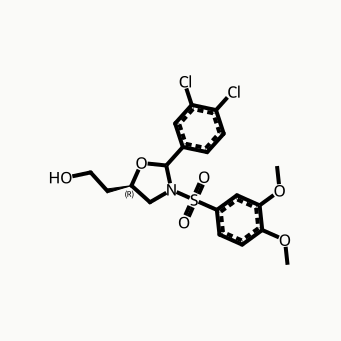 COc1ccc(S(=O)(=O)N2C[C@@H](CCO)OC2c2ccc(Cl)c(Cl)c2)cc1OC